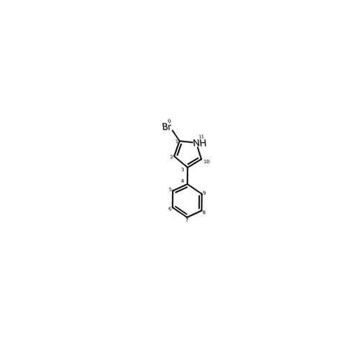 Brc1cc(-c2ccccc2)c[nH]1